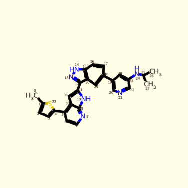 Cc1ccc(-c2ccnc3[nH]c(-c4n[nH]c5ccc(-c6cncc(NC(C)C)c6)cc45)cc23)s1